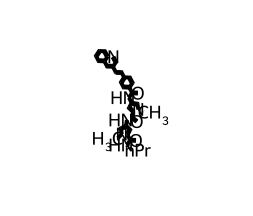 CCCNC(=O)c1cc(NC(=O)c2cc(NC(=O)c3ccc(/C=C/c4cnc5ccccc5c4)cc3)cn2C)cn1C